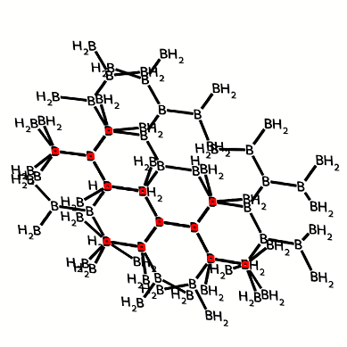 BB(B)B(B)B(B(B(B)B)B(B)B)B(B(BB(B(B(B(B)B)B(B)B)B(B(B)B)B(B)B)B(B(B(B)B)B(B)B)B(B(B)B)B(B)B)B(B(B(B(B)B)B(B)B)B(B(B)B)B(B)B)B(B(B(B)B)B(B)B)B(B(B)B)B(B)B)B(B(B)B)B(B)B